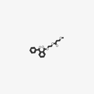 COCCC(=O)OCCOC(=O)c1ccccc1C(=O)c1ccccc1